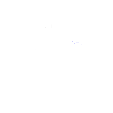 NC1C(C=O)NC2C=CC=CC21